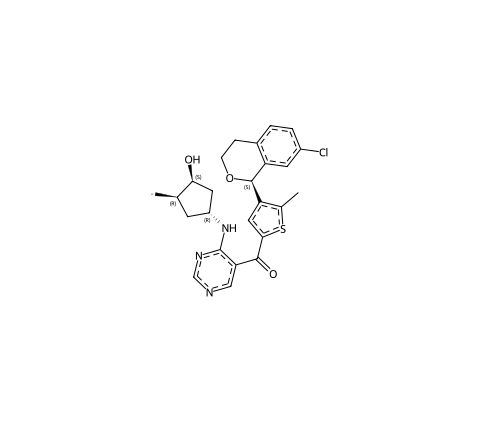 [CH2][C@@H]1C[C@@H](Nc2ncncc2C(=O)c2cc([C@H]3OCCc4ccc(Cl)cc43)c(C)s2)C[C@@H]1O